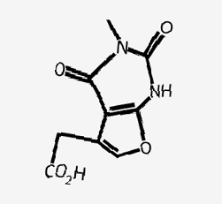 Cn1c(=O)[nH]c2occ(CC(=O)O)c2c1=O